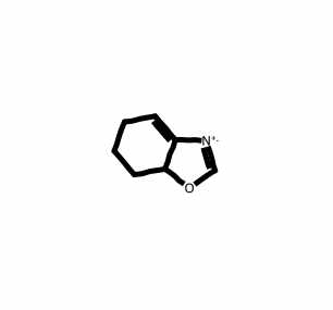 C1=[N+]C2=CCCCC2O1